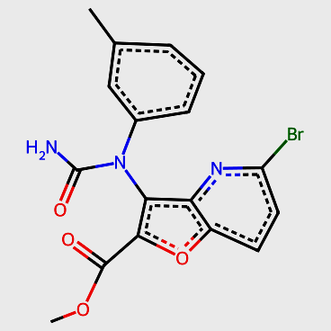 COC(=O)c1oc2ccc(Br)nc2c1N(C(N)=O)c1cccc(C)c1